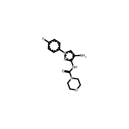 Nc1cn(-c2ccc(F)cc2)nc1NC(=O)N1CCOCC1